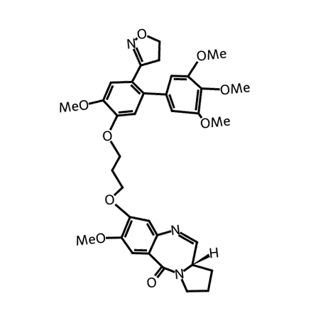 COc1cc2c(cc1OCCCOc1cc(-c3cc(OC)c(OC)c(OC)c3)c(C3=NOCC3)cc1OC)N=C[C@@H]1CCCN1C2=O